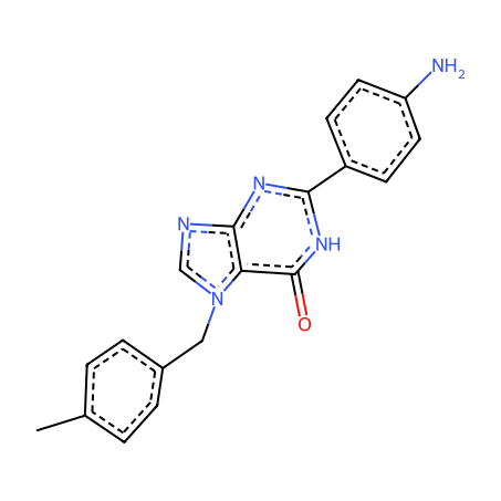 Cc1ccc(Cn2cnc3nc(-c4ccc(N)cc4)[nH]c(=O)c32)cc1